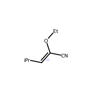 CCO/C(C#N)=C\C(C)C